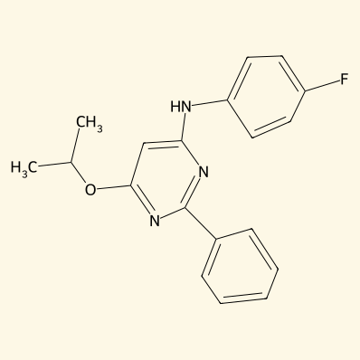 CC(C)Oc1cc(Nc2ccc(F)cc2)nc(-c2ccccc2)n1